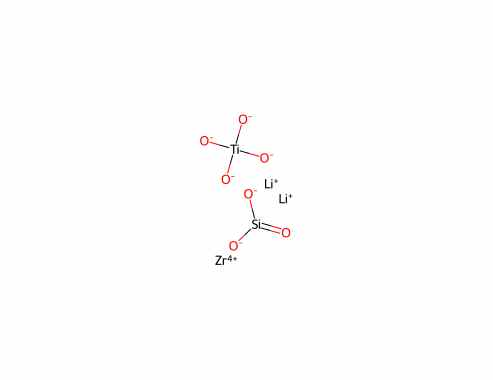 O=[Si]([O-])[O-].[Li+].[Li+].[O-][Ti]([O-])([O-])[O-].[Zr+4]